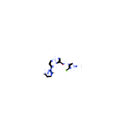 Cn1cc(NC(=O)c2cnn3ccc(N4C[C@@H]5CC[C@H]4CN5)nc23)c(C(F)F)n1